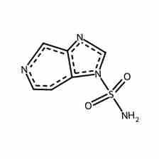 NS(=O)(=O)n1cnc2cnccc21